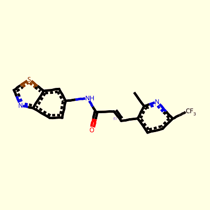 Cc1nc(C(F)(F)F)ccc1/C=C/C(=O)Nc1ccc2ncsc2c1